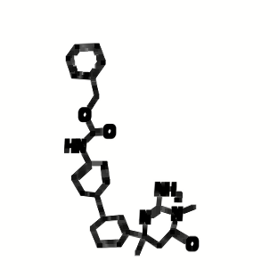 CN1C(=O)CC(C)(C2=CC(C3C=CC(NC(=O)OCc4ccccc4)=CC3)CC=C2)N=C1N